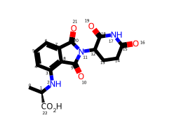 C[C@@H](Nc1cccc2c1C(=O)N(C1CCC(=O)NC1=O)C2=O)C(=O)O